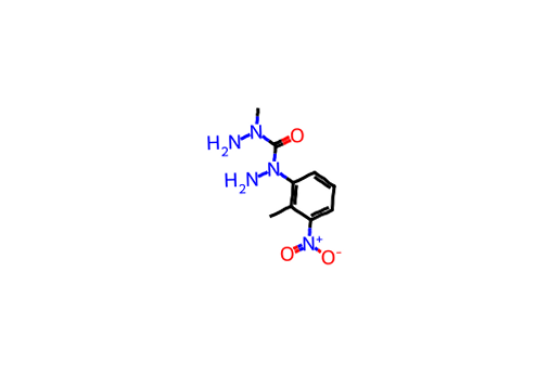 Cc1c(N(N)C(=O)N(C)N)cccc1[N+](=O)[O-]